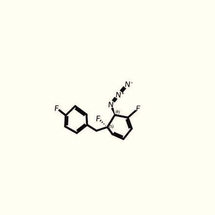 [N-]=[N+]=N[C@H]1C(F)=CC=C[C@@]1(F)Cc1ccc(F)cc1